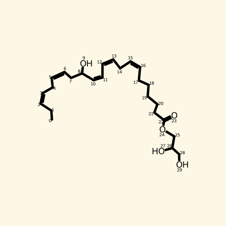 CC/C=C\C/C=C\CC(O)/C=C\C=C/C/C=C\CCCCCC(=O)OCC(O)CO